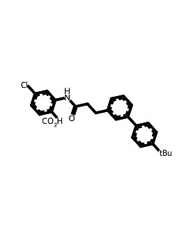 CC(C)(C)c1ccc(-c2cccc(CCC(=O)Nc3cc(Cl)ccc3C(=O)O)c2)cc1